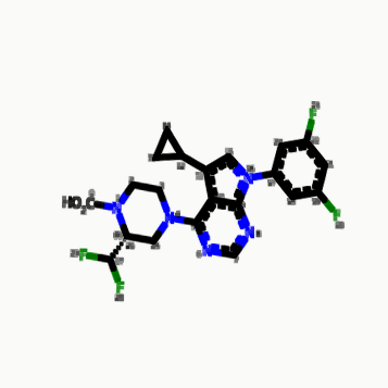 O=C(O)N1CCN(c2ncnc3c2c(C2CC2)cn3-c2cc(F)cc(F)c2)C[C@@H]1C(F)F